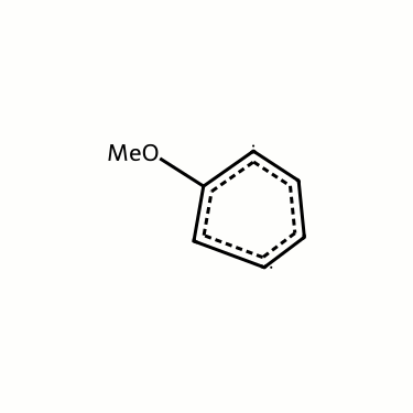 COc1[c]cc[c]c1